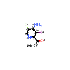 COC(=O)c1ncc(F)c(N)c1I